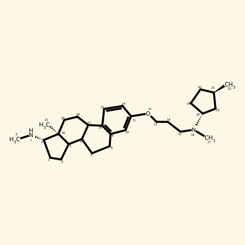 CN[C@H]1CCC2C3CCc4cc(OCCCN(C)[C@@H]5CC[C@@H](C)C5)ccc4C3CC[C@@]21C